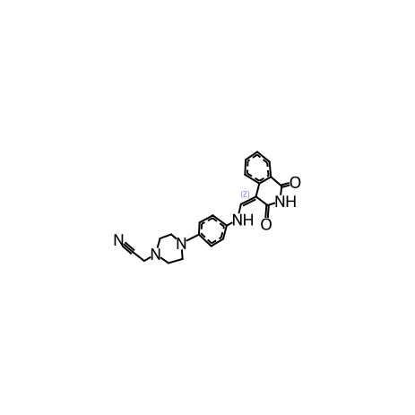 N#CCN1CCN(c2ccc(N/C=C3\C(=O)NC(=O)c4ccccc43)cc2)CC1